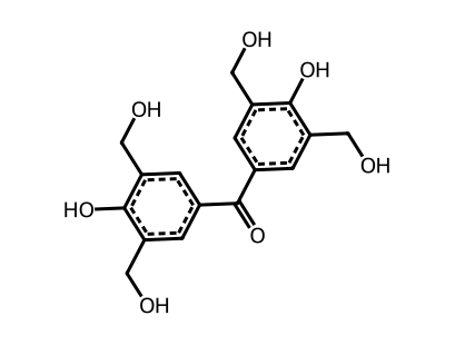 O=C(c1cc(CO)c(O)c(CO)c1)c1cc(CO)c(O)c(CO)c1